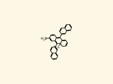 Bc1ccc2c(c1)=C(c1ccc3ccccc3c1)C1(C)CC=CC=C1C=2c1ccc2ccccc2c1